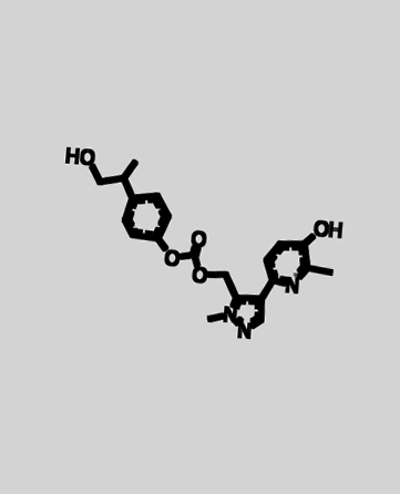 Cc1nc(-c2cnn(C)c2COC(=O)Oc2ccc(C(C)CO)cc2)ccc1O